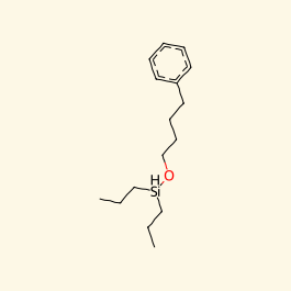 CCC[SiH](CCC)OCCCCc1ccccc1